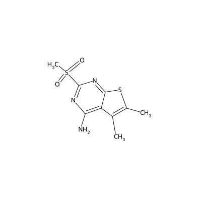 Cc1sc2nc(S(C)(=O)=O)nc(N)c2c1C